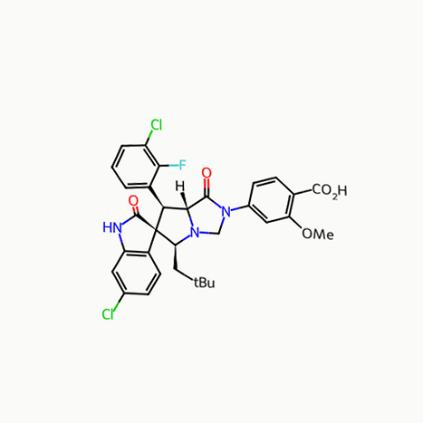 COc1cc(N2CN3[C@@H](CC(C)(C)C)[C@@]4(C(=O)Nc5cc(Cl)ccc54)[C@@H](c4cccc(Cl)c4F)[C@@H]3C2=O)ccc1C(=O)O